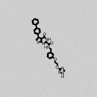 O=C(NCc1cccc(OCCOc2nc[nH]n2)c1)c1nc2scc(-c3ccc(-c4ccccc4)cc3)c2c(=O)[nH]1